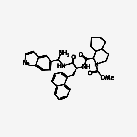 COC(=O)N1CCC2CCCCC2C1C(=O)N[C@@H](Cc1cccc2ccccc12)C(=O)NC(N)c1ccc2cnccc2c1